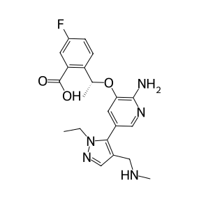 CCn1ncc(CNC)c1-c1cnc(N)c(O[C@H](C)c2ccc(F)cc2C(=O)O)c1